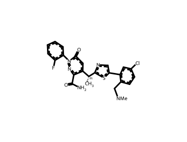 CNCc1ccc(Cl)cc1-c1cnc([C@H](C)c2cc(=O)n(-c3ccccc3F)nc2C(N)=O)s1